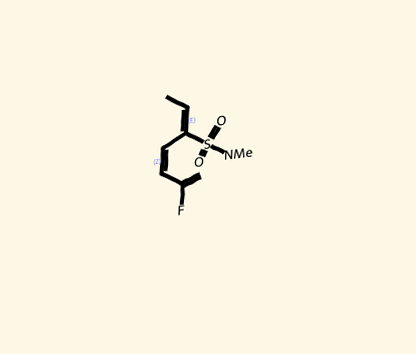 C=C(F)/C=C\C(=C/C)S(=O)(=O)NC